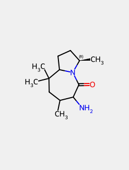 CC1CC(C)(C)C2CC[C@@H](C)N2C(=O)C1N